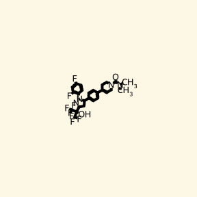 CN(C)C(=O)N1CC=C(c2ccc(C3CC(C(O)(C(F)(F)F)C(F)(F)F)=NN3c3ccc(F)cc3F)cc2)CC1